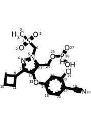 CS(=O)(=O)Cn1nc(C2CCC2)c(Oc2ccc(C#N)c(Cl)c2)c1CO[PH](=O)O